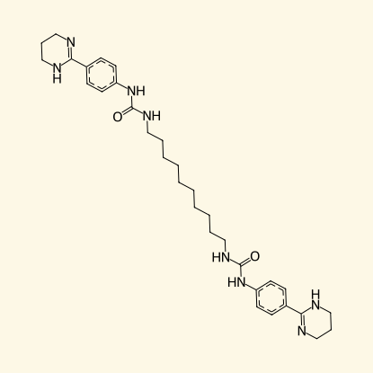 O=C(NCCCCCCCCCCNC(=O)Nc1ccc(C2=NCCCN2)cc1)Nc1ccc(C2=NCCCN2)cc1